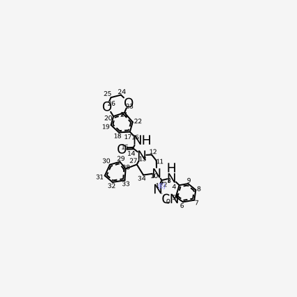 N#C/N=C(\Nc1ccccc1)N1CCN(C(=O)Nc2ccc3c(c2)OCCO3)C(c2ccccc2)C1